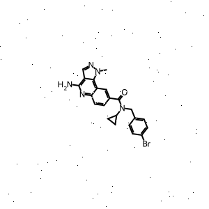 Cn1ncc2c(N)nc3ccc(C(=O)N(Cc4ccc(Br)cc4)C4CC4)cc3c21